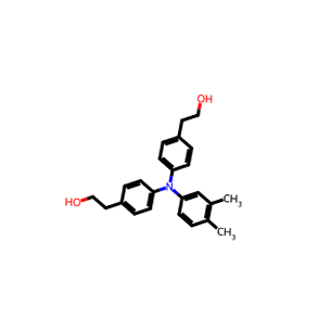 Cc1ccc(N(c2ccc(CCO)cc2)c2ccc(CCO)cc2)cc1C